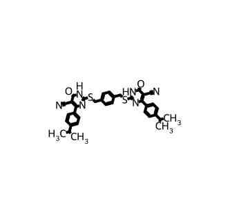 CC(C)c1ccc(-c2nc(SCc3ccc(CSc4nc(-c5ccc(C(C)C)cc5)c(C#N)c(=O)[nH]4)cc3)[nH]c(=O)c2C#N)cc1